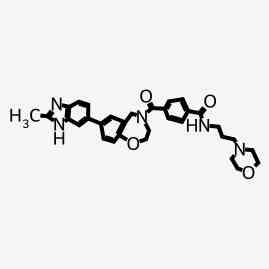 Cc1nc2ccc(-c3ccc4c(c3)CN(C(=O)c3ccc(C(=O)NCCCN5CCOCC5)cc3)CCO4)cc2[nH]1